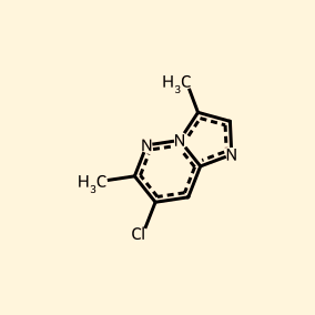 Cc1nn2c(C)cnc2cc1Cl